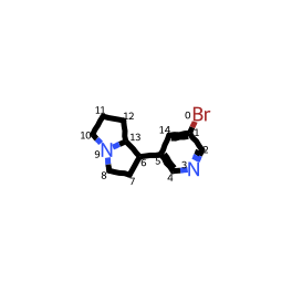 Brc1cncc(C2CCN3CCCC23)c1